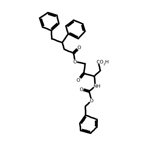 O=C(O)CC(NC(=O)OCc1ccccc1)C(=O)COC(=O)CC(Cc1ccccc1)c1ccccc1